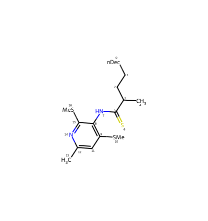 CCCCCCCCCCCCC(C)C(=S)Nc1c(SC)cc(C)nc1SC